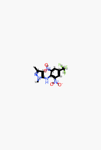 Cc1cc(Nc2c([N+](=O)[O-])cc(C(F)(F)F)cc2[N+](=O)[O-])n(C)n1